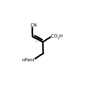 CCCCCC/C(=C/C#N)C(=O)O